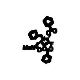 CNC(=O)C[C@@H]1[C@@H](OC(=O)c2ccccc2)[C@@H](F)[C@@H](COC(=O)c2ccccc2)N1Cc1ccccc1